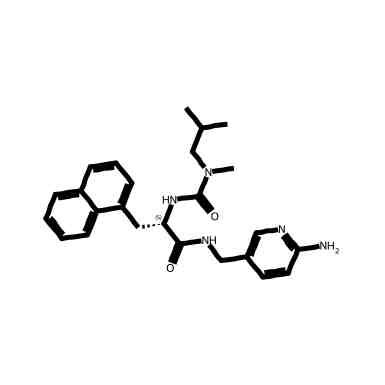 CC(C)CN(C)C(=O)N[C@@H](Cc1cccc2ccccc12)C(=O)NCc1ccc(N)nc1